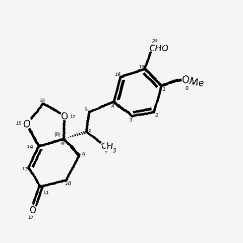 COc1ccc(CC(C)[C@]23CCC(=O)C=C2OCO3)cc1C=O